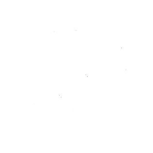 Cc1cc2c(cc1N1c3c4c(cc5ccccc35)-c3cccc5c6oc7ccccc7c6n(c35)B4c3sc4cc5c(cc4c31)C(C)(C)CCC5(C)C)C(C)(C)CCC2(C)C